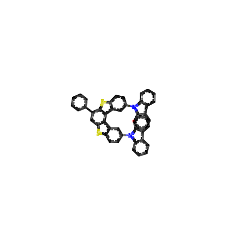 c1ccc(-c2cc3sc4ccc(-n5c6ccccc6c6ccccc65)cc4c3c3c2sc2ccc(-n4c5ccccc5c5ccccc54)cc23)cc1